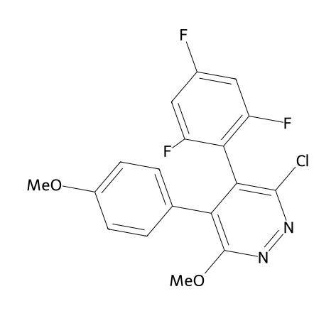 COc1ccc(-c2c(OC)nnc(Cl)c2-c2c(F)cc(F)cc2F)cc1